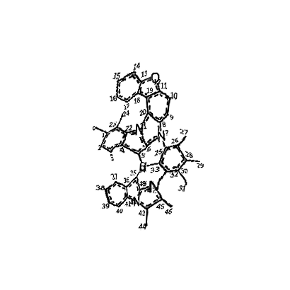 Cc1ccc2c3c4n(c5ccc6oc7ccccc7c6c5n4c2c1C)-c1c(C)c(C)c(C)c2c1B3c1c3ccccc3n3c(C)c(C)n-2c13